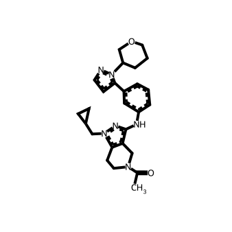 CC(=O)N1CCc2c(c(Nc3cccc(-c4ccnn4C4CCCOC4)c3)nn2CC2CC2)C1